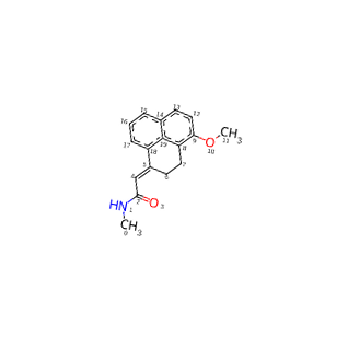 CNC(=O)C=C1CCc2c(OC)ccc3cccc1c23